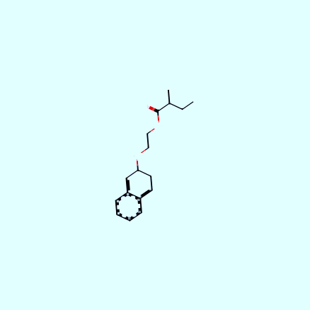 CCC(C)C(=O)OCCOC1C=c2ccccc2=CC1